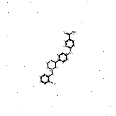 NC(=O)c1ccc(Oc2ccc(C3CCCN(Cc4ccccc4F)C3)cc2)nc1